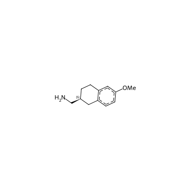 COc1ccc2c(c1)CC[C@H](CN)C2